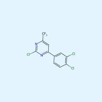 FC(F)(F)c1cc(-c2ccc(Cl)c(Cl)c2)nc(Cl)n1